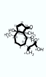 C=C(C(=O)O)[C@@H]1CC[C@H](C)[C@]2(O)C=CC(=O)[C@@]2(C)[C@@H]1O